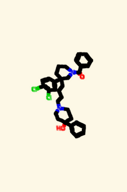 O=C(c1ccccc1)N1CCCC(CCCCN2CCC(O)(c3ccccc3)CC2)(c2ccc(Cl)c(Cl)c2)C1